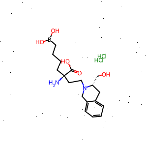 Cl.Cl.N[C@](CCCCB(O)O)(CCN1Cc2ccccc2C[C@H]1CO)C(=O)O